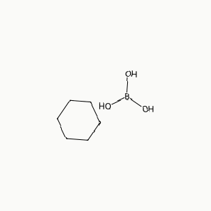 C1CCCCC1.OB(O)O